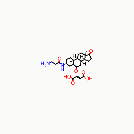 C[C@]12CC[C@H](NC(=O)CCN)CC1C(=O)C[C@@H]1[C@@H]2CC[C@]2(C)C(=O)CC[C@@H]12.O=C(O)/C=C/C(=O)O